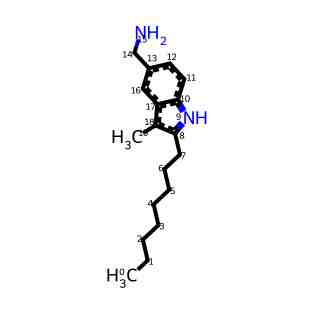 CCCCCCCCc1[nH]c2ccc(CN)cc2c1C